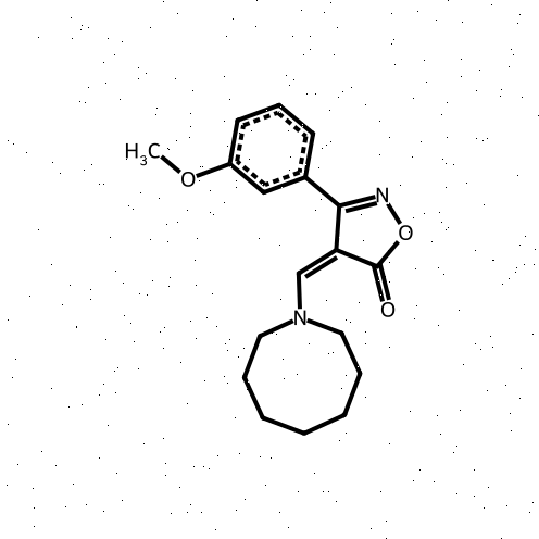 COc1cccc(C2=NOC(=O)C2=CN2CCCCCCC2)c1